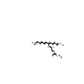 CCCCCCC(CCCCC)CCCNC(C)=O